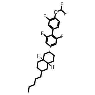 CCCCCC1CC[C@@H]2C[C@H](c3cc(F)c(-c4ccc(OC(F)F)c(F)c4)c(F)c3)CC[C@@H]2C1